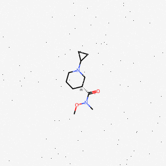 CON(C)C(=O)[C@@H]1CCCN(C2CC2)C1